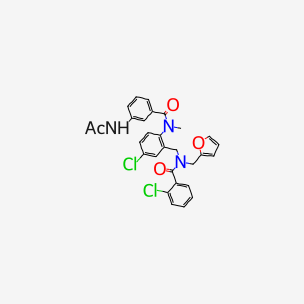 CC(=O)Nc1cccc(C(=O)N(C)c2ccc(Cl)cc2CN(Cc2ccco2)C(=O)c2ccccc2Cl)c1